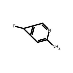 Nc1cc2c(cn1)C2F